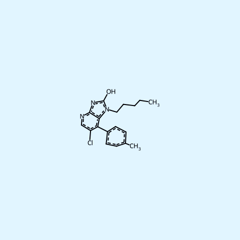 CCCCCn1c(O)nc2ncc(Cl)c(-c3ccc(C)cc3)c21